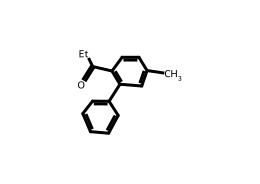 CCC(=O)c1ccc(C)cc1-c1ccccc1